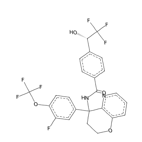 O=C(NC1(c2ccc(OC(F)(F)F)c(F)c2)CCOc2cccnc21)c1ccc([C@H](O)C(F)(F)F)cc1